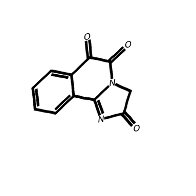 O=C1CN2C(=O)C(=O)c3ccccc3C2=N1